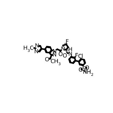 CC(=O)c1nn(CC(=O)N2C[C@H](F)C[C@H]2C(=O)Nc2cccc(-c3cc(S(N)(=O)=O)ccc3Cl)c2F)c2ccc(-c3cnc(C)nc3)cc12